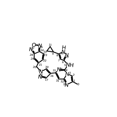 Cc1cn2c(Nc3cc(C4CC4)[nH]n3)nc(-c3cnn(Cc4ccc5nonc5c4)c3)cc2n1